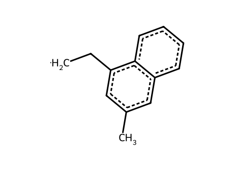 [CH2]Cc1cc(C)cc2ccccc12